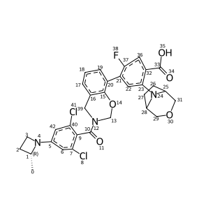 C[C@@H]1CCN1c1cc(Cl)c(C(=O)N2COc3c(cccc3-c3cc(N4C5CCC4COC5)c(C(=O)O)cc3F)C2)c(Cl)c1